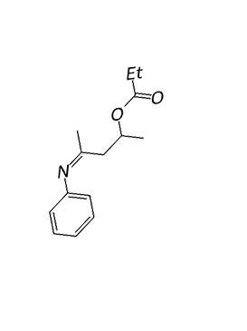 CCC(=O)OC(C)CC(C)=Nc1ccccc1